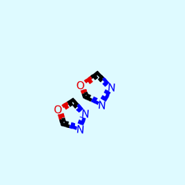 c1nnco1.c1nnco1